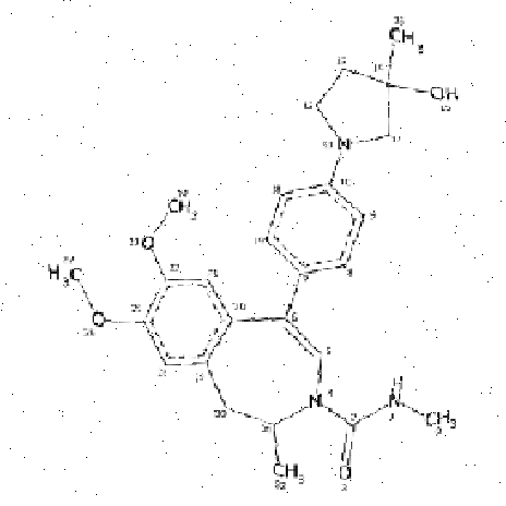 CNC(=O)N1C=C(c2ccc(N3CCC(C)(O)C3)cc2)c2cc(OC)c(OC)cc2CC1C